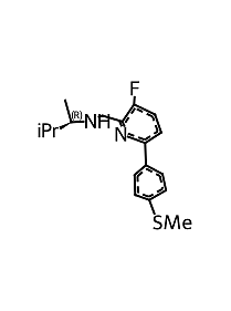 CSc1ccc(-c2ccc(F)c(CN[C@H](C)C(C)C)n2)cc1